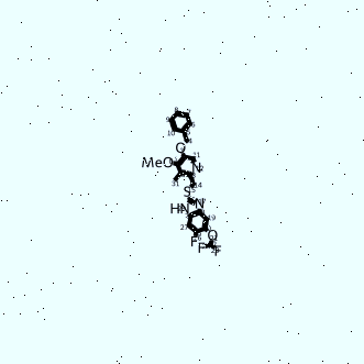 COc1c(OCc2ccccc2)cnc(CSc2nc3cc(OC(F)F)c(F)cc3[nH]2)c1C